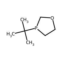 CC(C)(C)P1CCOC1